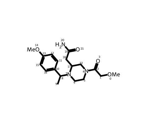 COCC(=O)N1CCN(C(C)c2ccc(OC)cc2)C(CC(N)=O)C1